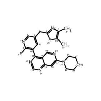 Cc1nc(Cc2cnc(F)c(-c3ncnc4cc(N5CCOCC5)ncc34)c2)sc1C